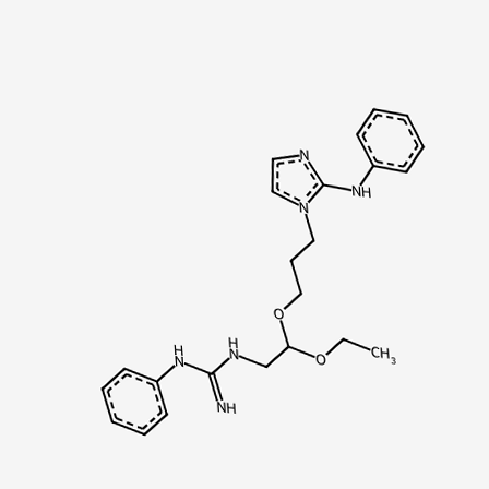 CCOC(CNC(=N)Nc1ccccc1)OCCCn1ccnc1Nc1ccccc1